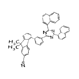 CC1(C)c2cc(C#N)ccc2-c2c(-c3cccc(-c4nc(-c5cccc6ccccc56)nc(-c5cccc6ccccc56)n4)c3)cccc21